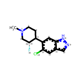 CN1CCC(c2cc3[nH]ncc3cc2Cl)[C@H](F)C1